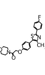 Cc1nc(-c2ccc(F)cc2)sc1-c1ccc(OCC(=O)N2CCOCC2)cc1